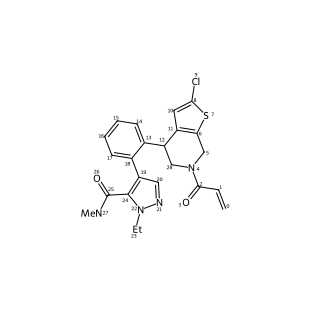 C=CC(=O)N1Cc2sc(Cl)cc2C(c2ccccc2-c2cnn(CC)c2C(=O)NC)C1